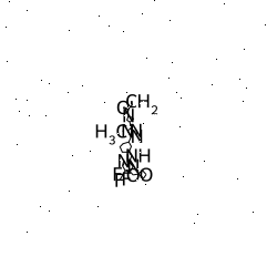 C=CC(=O)N1CC(c2nnc(C3CCCC(Nc4ncc(C(F)(F)F)c(OC5COC5)n4)C3)n2C)C1